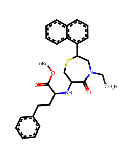 CCCCOC(=O)C(CCc1ccccc1)NC1CSC(c2cccc3ccccc23)CN(CC(=O)O)C1=O